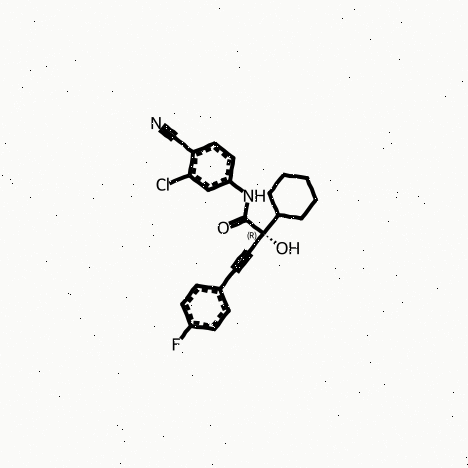 N#Cc1ccc(NC(=O)[C@](O)(C#Cc2ccc(F)cc2)C2CCCCC2)cc1Cl